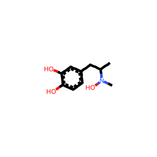 CC(Cc1ccc(O)c(O)c1)N(C)O